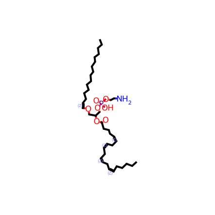 CCCCC/C=C\C/C=C\C/C=C\C/C=C\CCCC(=O)OC(CO/C=C\CCCCCCCCCCCCCC)COP(=O)(O)OCCN